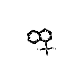 CS(O)(O)c1cccc2ccccc12